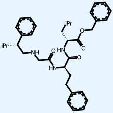 CC(C)C[C@@H](NC(=O)[C@@H](CCc1ccccc1)NC(=O)CNC[C@@H](c1ccccc1)C(C)C)C(=O)OCc1ccccc1